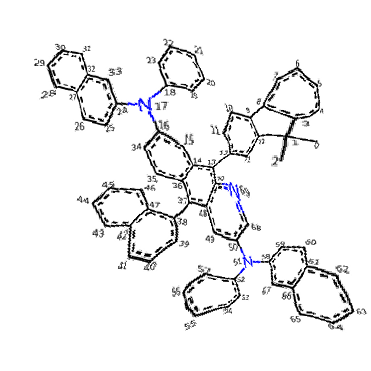 CC1(C)c2ccccc2-c2ccc(-c3c4cc(N(c5ccccc5)c5ccc6ccccc6c5)ccc4c(-c4cccc5ccccc45)c4cc(N(c5ccccc5)c5ccc6ccccc6c5)cnc34)cc21